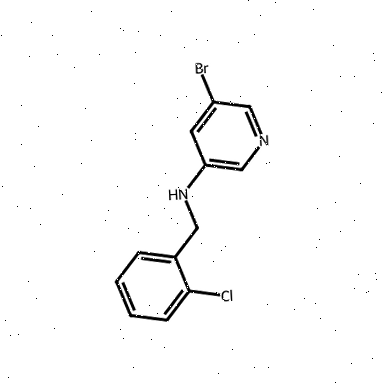 Clc1ccccc1CNc1cncc(Br)c1